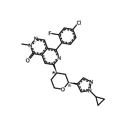 Cn1ncc2c(-c3ccc(Cl)cc3F)nc([C@@H]3CCO[C@H](c4cnn(C5CC5)c4)C3)cc2c1=O